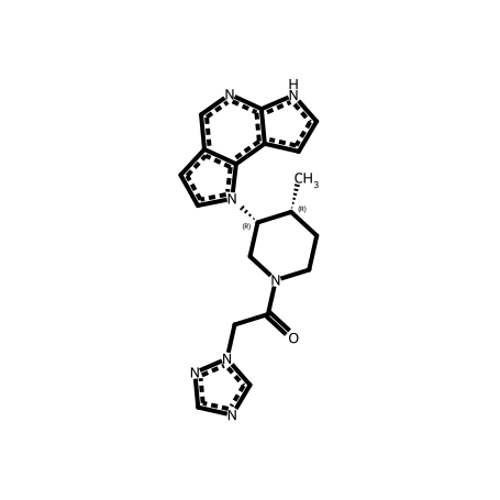 C[C@@H]1CCN(C(=O)Cn2cncn2)C[C@@H]1n1ccc2cnc3[nH]ccc3c21